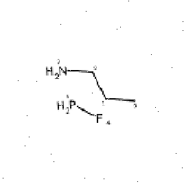 CCCN.FP